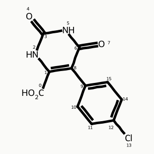 O=C(O)c1[nH]c(=O)[nH]c(=O)c1-c1ccc(Cl)cc1